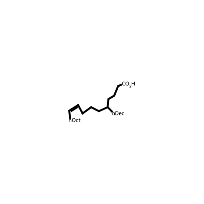 CCCCCCCC/C=C\CCCC(CCCCCCCCCC)CCCC(=O)O